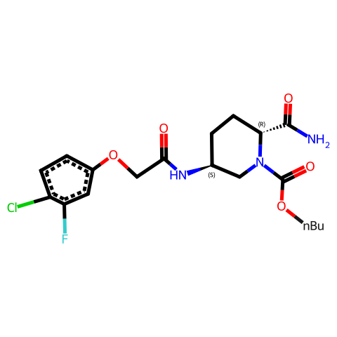 CCCCOC(=O)N1C[C@@H](NC(=O)COc2ccc(Cl)c(F)c2)CC[C@@H]1C(N)=O